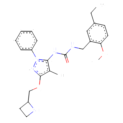 COCc1ccc(OC(F)(F)F)c(CNC(=O)Nc2c(C)c(OCC3CCN3)nn2-c2ccccc2)c1